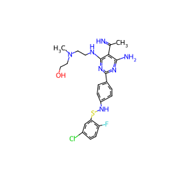 CC(=N)c1c(N)nc(-c2ccc(NSc3cc(Cl)ccc3F)cc2)nc1NCCN(C)CCO